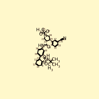 CC(C)(C)NS(=O)(=O)c1ccccc1-c1ccc(NC(=O)[C@@H]2CN(S(C)(=O)=O)C[C@H]2c2cccc(C#N)c2)cc1